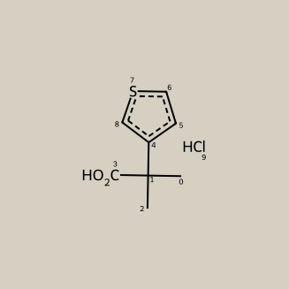 CC(C)(C(=O)O)c1ccsc1.Cl